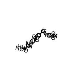 CN(C)S(=O)(=O)N1CCN(Cc2sccc2-c2ccc(S(=O)(=O)N3CCN(c4ncc(C(=O)NO)cn4)CC3)cc2)CC1